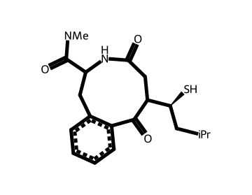 CNC(=O)C1Cc2ccccc2C(=O)C([C@@H](S)CC(C)C)CC(=O)N1